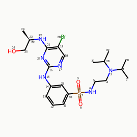 CC(C)N(CCNS(=O)(=O)c1cccc(Nc2ncc(Br)c(N[C@H](C)CO)n2)c1)C(C)C